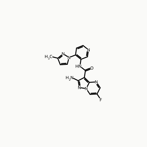 Cc1ccn(-c2ccncc2NC(=O)c2c(N)nn3cc(F)cnc23)n1